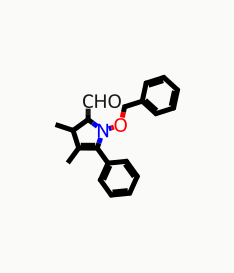 CC1=C(c2ccccc2)N(OCc2ccccc2)C(C=O)C1C